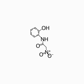 O=C(C[N+](=O)[O-])Nc1ccccc1O